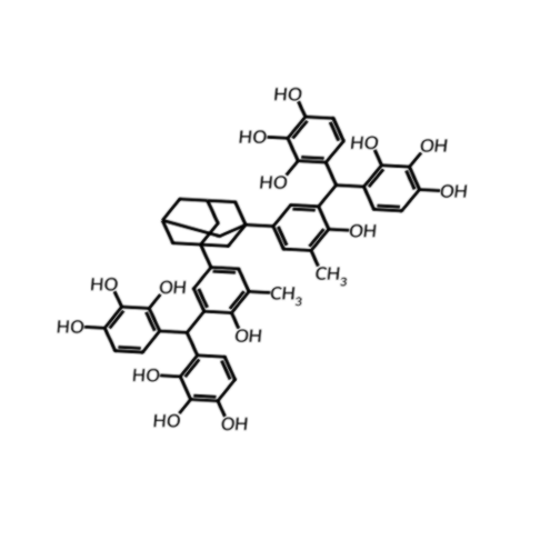 Cc1cc(C23CC4CC(C2)CC(c2cc(C)c(O)c(C(c5ccc(O)c(O)c5O)c5ccc(O)c(O)c5O)c2)(C4)C3)cc(C(c2ccc(O)c(O)c2O)c2ccc(O)c(O)c2O)c1O